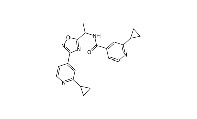 CC(NC(=O)c1ccnc(C2CC2)c1)c1nc(-c2ccnc(C3CC3)c2)no1